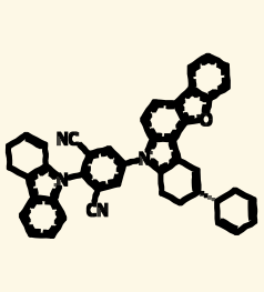 N#Cc1cc(-n2c3c(c4c5oc6ccccc6c5ccc42)C=C([C@H]2C=CC=CC2)CC3)cc(C#N)c1-n1c2c(c3ccccc31)CCC=C2